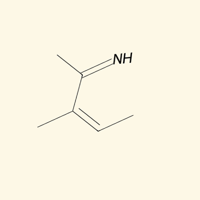 C/C=C(/C)C(C)=N